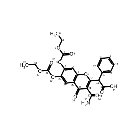 CCOC(=O)Oc1cc2oc(C(C(=O)O)c3ccccc3)c(C(N)=O)c(=O)c2cc1OC(=O)OCC